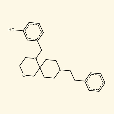 Oc1cccc(CN2CCOCC23CCN(CCc2ccccc2)CC3)c1